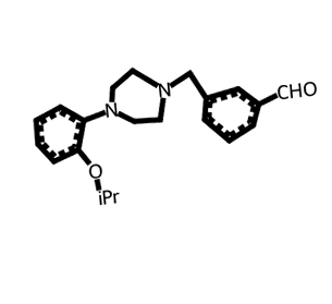 CC(C)Oc1ccccc1N1CCN(Cc2cccc(C=O)c2)CC1